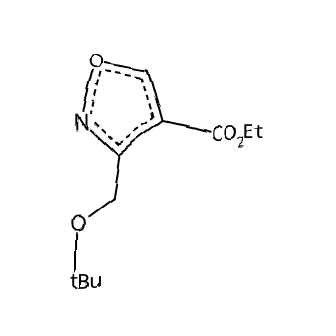 CCOC(=O)c1conc1COC(C)(C)C